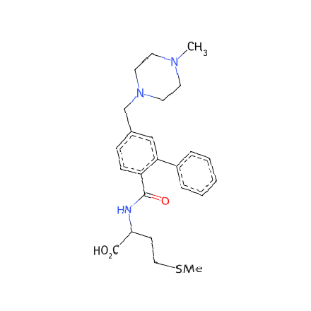 CSCCC(NC(=O)c1ccc(CN2CCN(C)CC2)cc1-c1ccccc1)C(=O)O